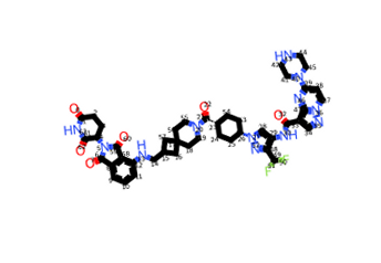 O=C1CCC(N2C(=O)c3cccc(NCC4CC5(CCN(C(=O)[C@H]6CC[C@H](n7cc(NC(=O)c8cnn9ccc(N%10CCNCC%10)nc89)c(C(F)F)n7)CC6)CC5)C4)c3C2=O)C(=O)N1